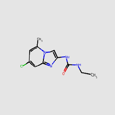 CCNC(=O)Nc1cn2c(C)cc(Cl)cc2n1